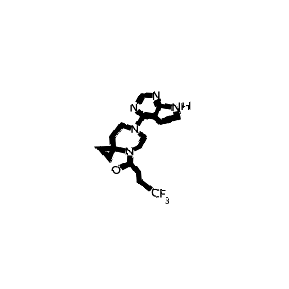 O=C(CCC(F)(F)F)N1CCN(c2ncnc3[nH]ccc23)CCC12CC2